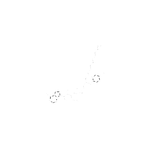 CCCCCCCCCCCCCCCCCCOC[C@H](COP(=O)(O)OC[C@@H](OC#N)[C@@H](O)[C@@H](O)c1ccc2c(N)ncnn12)Nc1ccc(C#N)cn1